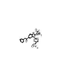 CCCC1CN=C(n2c(NC(C)=O)nc3ccc(C(=O)Cc4ccccc4)cc32)S1